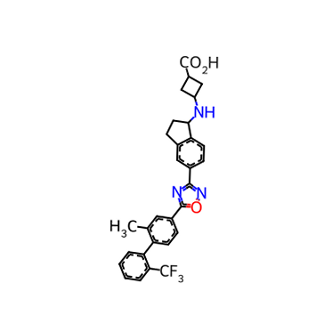 Cc1cc(-c2nc(-c3ccc4c(c3)CCC4NC3CC(C(=O)O)C3)no2)ccc1-c1ccccc1C(F)(F)F